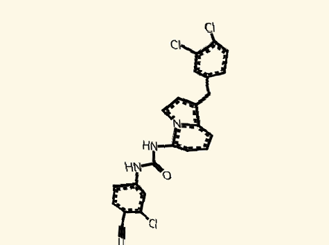 N#Cc1ccc(NC(=O)Nc2cccc3c(Cc4ccc(Cl)c(Cl)c4)ccn23)cc1Cl